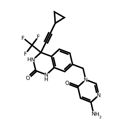 Nc1cc(=O)n(Cc2ccc3c(c2)NC(=O)NC3(C#CC2CC2)C(F)(F)F)cn1